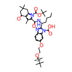 CCCCC(NC(=O)c1c(C)c2c(n1C(=O)OC(C)(C)C)CC(C)(C)CC2=O)c1nc2ccc(OCCO[Si](C)(C)C(C)(C)C)cc2n1C(=O)O